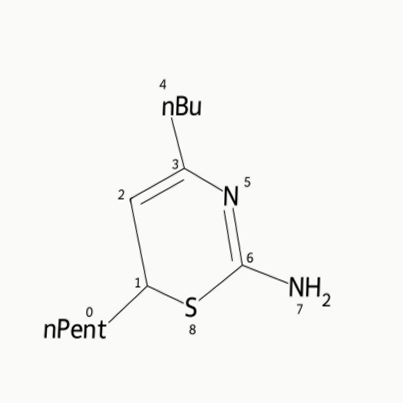 CCCCCC1C=C(CCCC)N=C(N)S1